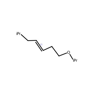 CC(C)C/C=C/CCOC(C)C